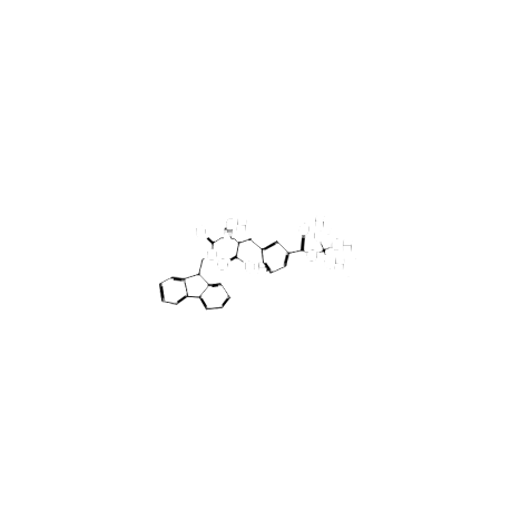 CN(C(=O)OCC1c2ccccc2-c2ccccc21)C(Cc1cccc(C(=O)OC(C)(C)C)c1)C(=O)O